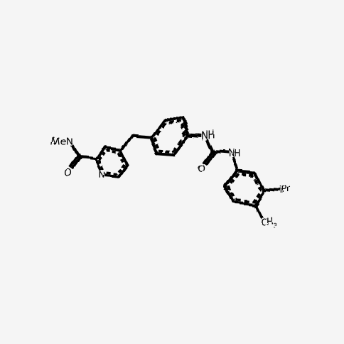 CNC(=O)c1cc(Cc2ccc(NC(=O)Nc3ccc(C)c(C(C)C)c3)cc2)ccn1